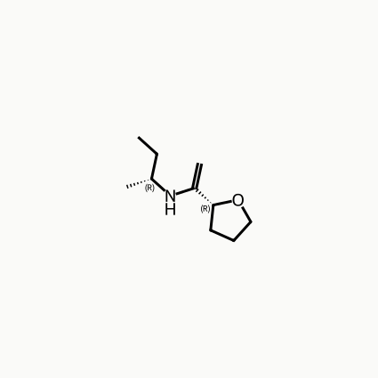 C=C(N[C@H](C)CC)[C@H]1CCCO1